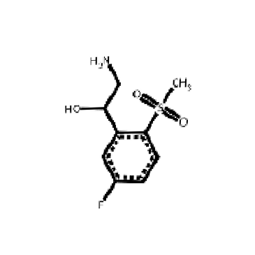 CS(=O)(=O)c1ccc(F)cc1C(O)CN